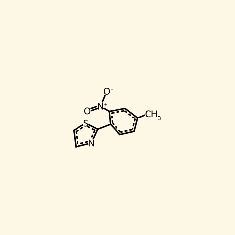 Cc1ccc(-c2nccs2)c([N+](=O)[O-])c1